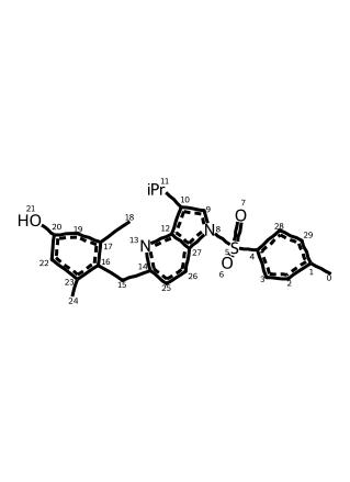 Cc1ccc(S(=O)(=O)n2cc(C(C)C)c3nc(Cc4c(C)cc(O)cc4C)ccc32)cc1